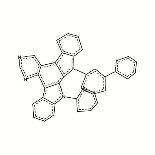 c1ccc(-c2cccc(-n3c4ccccc4c4c5cncnc5c5c6ccccc6n(-c6ccccc6)c5c43)c2)cc1